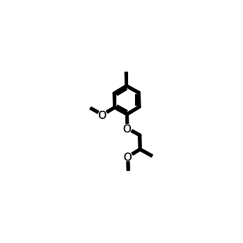 COc1cc(C)ccc1OCC(C)OC